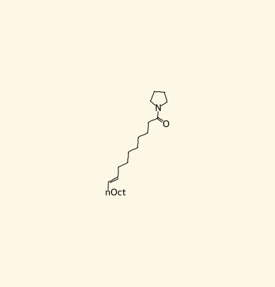 CCCCCCCCC=CCCCCCCCC(=O)N1CCCC1